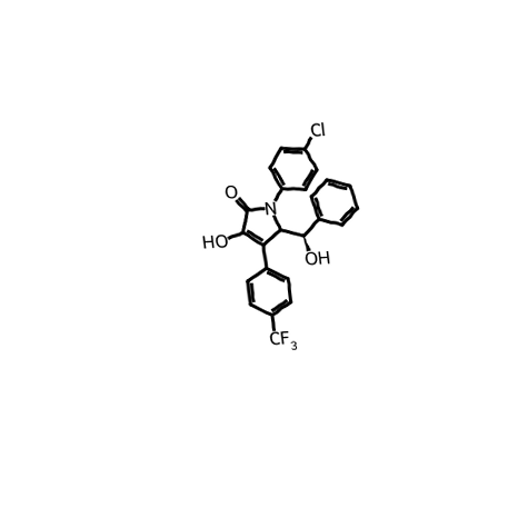 O=C1C(O)=C(c2ccc(C(F)(F)F)cc2)C([C@H](O)c2ccccc2)N1c1ccc(Cl)cc1